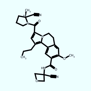 CCCc1cc(C(=O)N2CCC[C@]2(C)C#N)n2c1-c1cc(C(=O)NC3(C#N)COC3)c(OC)cc1CC2